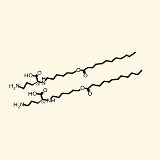 CCCCCCCCCCCC(=O)OCCCCCCN[C@@H](CCCN)C(=O)O.CCCCCCCCCCCC(=O)OCCCCCCN[C@@H](CCCN)C(=O)O